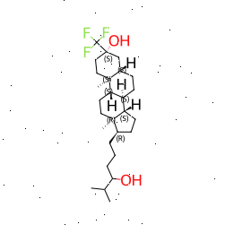 CC(C)C(O)CCC[C@@H]1CC[C@H]2[C@@H]3CC[C@H]4C[C@](O)(C(F)(F)F)CC[C@]4(C)[C@H]3CC[C@]12C